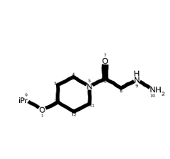 CC(C)OC1CCN(C(=O)CNN)CC1